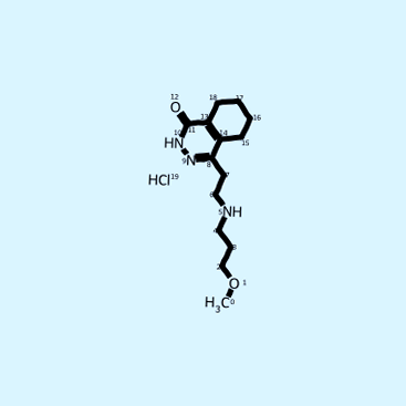 COCCCNCCc1n[nH]c(=O)c2c1CCCC2.Cl